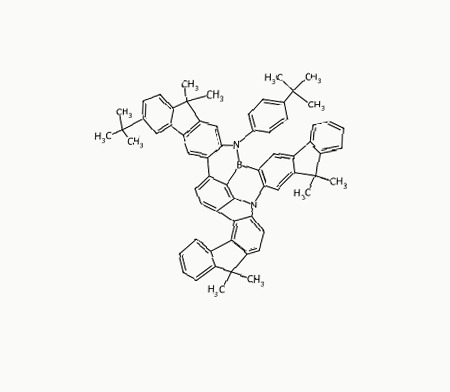 CC(C)(C)c1ccc(N2B3c4cc5c(cc4-n4c6ccc7c(c6c6ccc(c3c64)-c3cc4c(cc32)C(C)(C)c2ccc(C(C)(C)C)cc2-4)-c2ccccc2C7(C)C)C(C)(C)c2ccccc2-5)cc1